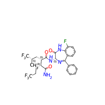 C[C@@H](C[C@H](C(=O)N[C@H]1N=C(c2ccccc2)c2cccc(F)c2NC1=O)[C@@H](CCC(F)(F)F)C(N)=O)C(F)(F)F